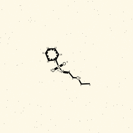 CCOCC=NS(=O)(=O)c1ccccc1